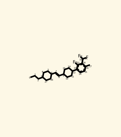 CCCC1CCC(/C=C/C2CCC(c3ccc(C)c(C(F)F)c3F)CC2)CC1